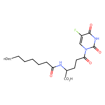 CCCCCCCCCCCCCCCC(=O)NC(CCC(=O)n1cc(F)c(=O)[nH]c1=O)C(=O)O